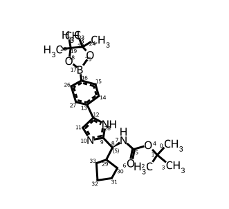 CC(C)(C)OC(=O)N[C@H](c1ncc(-c2ccc(B3OC(C)(C)C(C)(C)O3)cc2)[nH]1)C1CCCC1